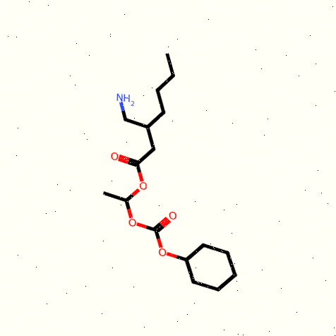 CCCCC(CN)CC(=O)OC(C)OC(=O)OC1CCCCC1